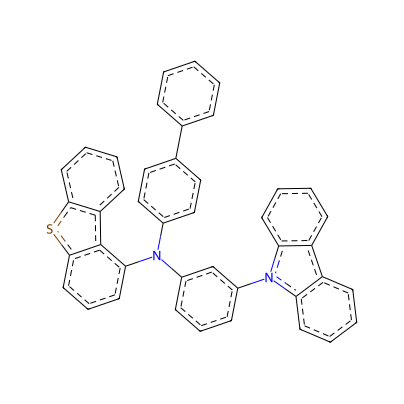 c1ccc(-c2ccc(N(c3cccc(-n4c5ccccc5c5ccccc54)c3)c3cccc4sc5ccccc5c34)cc2)cc1